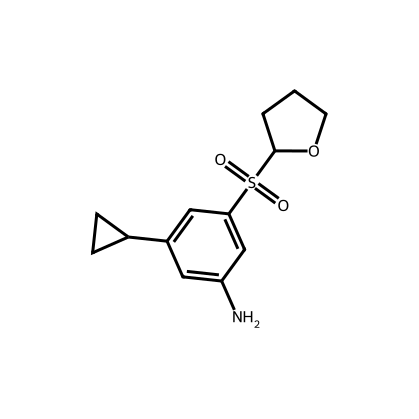 Nc1cc(C2CC2)cc(S(=O)(=O)C2CCCO2)c1